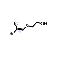 CC/C(Br)=C\SCCO